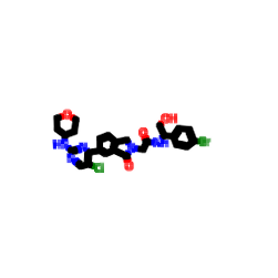 O=C(CN1Cc2ccc(-c3nc(NC4CCOCC4)ncc3Cl)cc2C1=O)NC(CO)c1ccc(Br)cc1